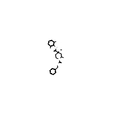 CNC1(C(=O)Nc2c(C)cccc2C)CCN(C(=O)OCc2ccccc2)C(C)C1